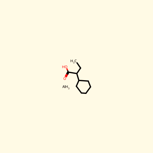 CCC(C(=O)O)C1CCCCC1.[AlH3]